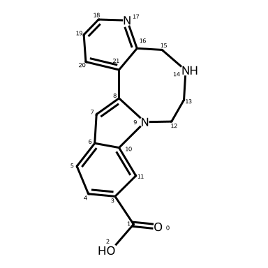 O=C(O)c1ccc2cc3n(c2c1)CCNCc1ncccc1-3